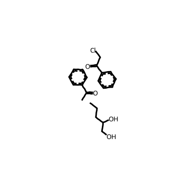 CC(=O)c1ccccc1.CCCC(O)CO.O=C(CCl)c1ccccc1